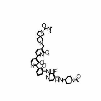 COc1nc(-c2ccnc(-c3cccc(Nc4nccc(CNC5CCN(C(C)=O)CC5)c4F)c3Cl)c2Cl)ccc1CN1CCC2(CCN(C(=O)N(C)C)C2)C1